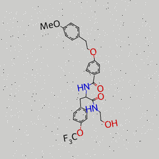 COc1ccc(CCOc2ccc(C(=O)NC(Cc3ccc(OC(F)(F)F)cc3)C(=O)NCCO)cc2)cc1